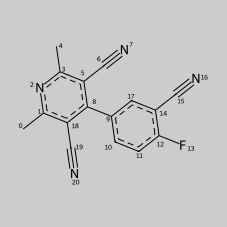 Cc1nc(C)c(C#N)c(-c2ccc(F)c(C#N)c2)c1C#N